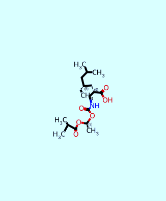 CC[C@H](CC(C)C)C[C@@H](CNC(=O)O[C@@H](C)OC(=O)C(C)C)C(=O)O